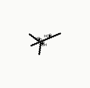 CCCCCCCCCCC(CCCCCCCCC(C(CCCCCCCCCC)C(=O)O)C(CCCCCCCC)C(CCCCCCCCCC)C(=O)O)C(=O)O